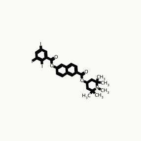 CN1C(C)(C)CC(OC(=O)c2ccc3cc(OC(=O)c4cc(I)cc(I)c4I)ccc3c2)CC1(C)C